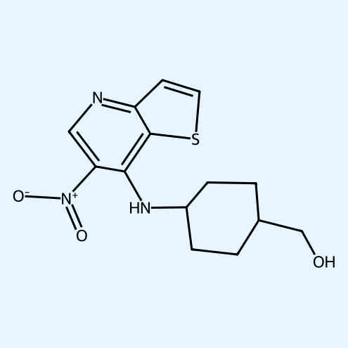 O=[N+]([O-])c1cnc2ccsc2c1NC1CCC(CO)CC1